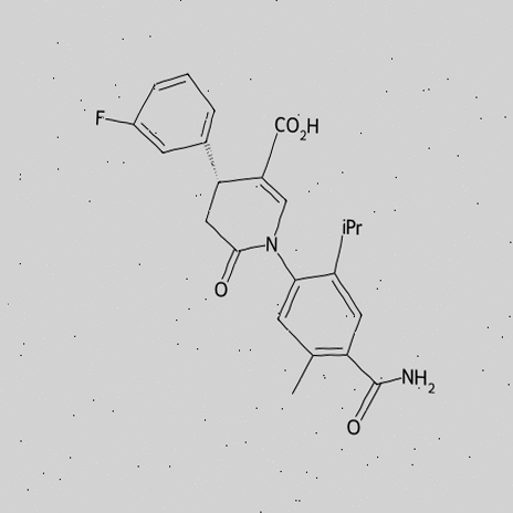 Cc1cc(N2C=C(C(=O)O)[C@@H](c3cccc(F)c3)CC2=O)c(C(C)C)cc1C(N)=O